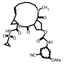 COc1cc(C#N)cc(NC(=O)OC2CC3C(=O)NC4(C(=O)NS(=O)(=O)C5CC5)CC4/C=C/CCCCN(C)C(=O)C3C2)c1